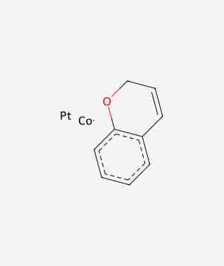 C1=Cc2ccccc2OC1.[Co].[Pt]